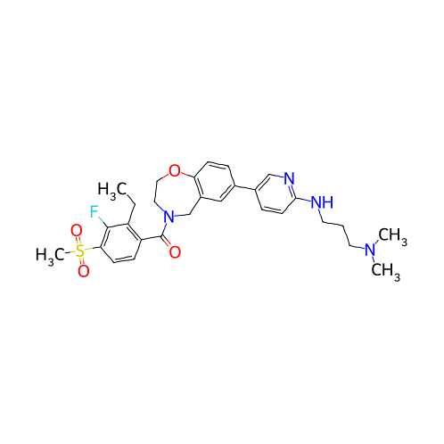 CCc1c(C(=O)N2CCOc3ccc(-c4ccc(NCCCN(C)C)nc4)cc3C2)ccc(S(C)(=O)=O)c1F